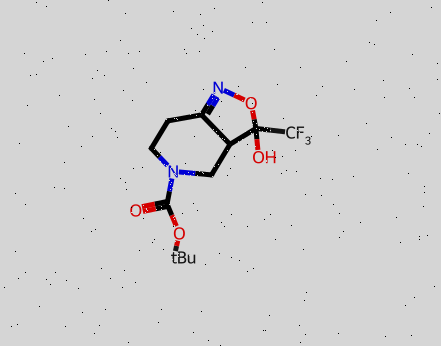 CC(C)(C)OC(=O)N1CCC2=NOC(O)(C(F)(F)F)C2C1